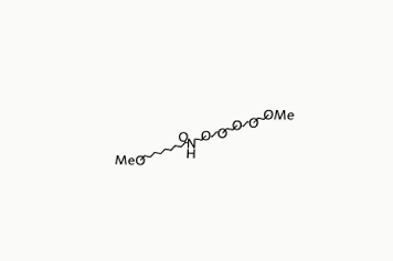 COCCCCCCCCC(=O)NCCOCCOCCOCCOCCOC